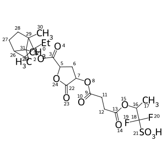 CCC1(OC(=O)C2CC(OC(=O)CCC(=O)OC(C)C(F)(F)S(=O)(=O)O)C(=O)O2)CC2CCC1(C)C2(C)C